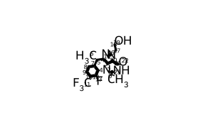 Cc1nc2c([C@@H](C)c3ccc(C(F)(F)F)c(F)c3)nn(CCO)c2c(=O)[nH]1